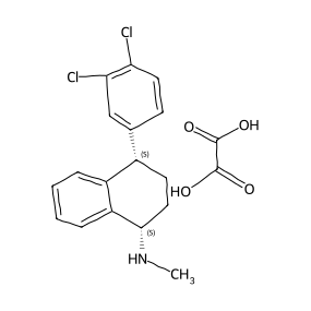 CN[C@H]1CC[C@@H](c2ccc(Cl)c(Cl)c2)c2ccccc21.O=C(O)C(=O)O